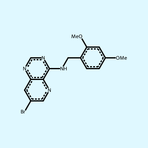 COc1ccc(CNc2ncnc3cc(Br)cnc23)c(OC)c1